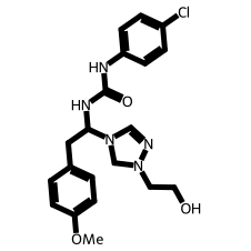 COc1ccc(CC(NC(=O)Nc2ccc(Cl)cc2)N2C=NN(CCO)C2)cc1